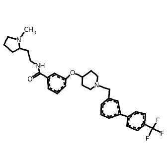 CN1CCCC1CCNC(=O)c1cccc(OC2CCN(Cc3cccc(-c4ccc(C(F)(F)F)cc4)c3)CC2)c1